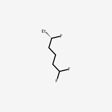 [CH2]C[C@H](F)CCCC(F)F